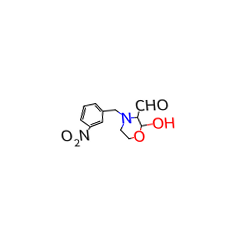 O=CC1C(O)OCCN1Cc1cccc([N+](=O)[O-])c1